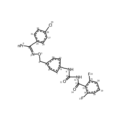 CCCC(=NOCc1ccc(NC(=O)NC(=O)c2c(F)cccc2F)cc1)c1ccc(Cl)cc1